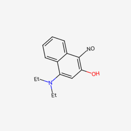 CCN(CC)c1cc(O)c(N=O)c2ccccc12